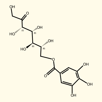 O=C(OC[C@@H](O)[C@@H](O)[C@@H](O)[C@H](O)C(=O)CO)c1cc(O)c(O)c(O)c1